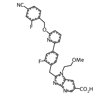 COCCn1c(Cc2ccc(-c3cccc(OCc4ccc(C#N)cc4F)n3)cc2F)nc2ncc(C(=O)O)cc21